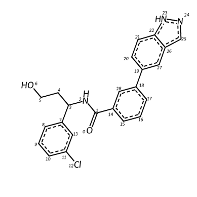 O=C(NC(CCO)c1cccc(Cl)c1)c1cccc(-c2ccc3[nH]ncc3c2)c1